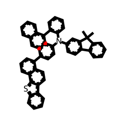 CC1(C)c2ccccc2-c2ccc(N(c3ccc(-c4cccc5c4ccc4c6ccccc6sc54)cc3)c3ccccc3-c3cccc4ccccc34)cc21